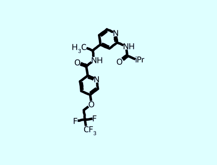 CC(C)C(=O)Nc1cc(C(C)NC(=O)c2ccc(OCC(F)(F)C(F)(F)F)cn2)ccn1